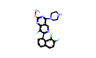 COc1nc(N2CCNCC2)c2cnc(-c3cccc4ccc(F)c(Cl)c34)c(F)c2n1